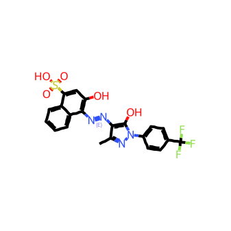 Cc1nn(-c2ccc(C(F)(F)F)cc2)c(O)c1/N=N/c1c(O)cc(S(=O)(=O)O)c2ccccc12